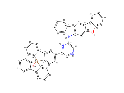 O=S12(c3ccccc3-c3ccccc31)c1ccccc1-c1cc(-c3cncc(-n4c5ccccc5c5cc6c(cc54)oc4ccccc46)n3)ccc12